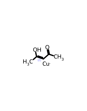 CC(=O)/C=C(/C)O.[Cu]